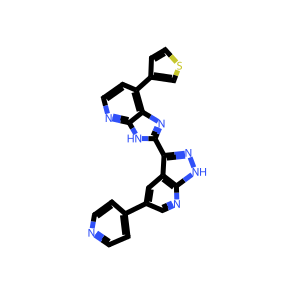 c1cc(-c2cnc3[nH]nc(-c4nc5c(-c6ccsc6)ccnc5[nH]4)c3c2)ccn1